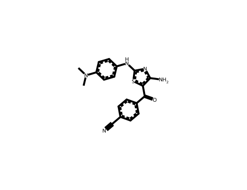 CN(C)c1ccc(Nc2nc(N)c(C(=O)c3ccc(C#N)cc3)s2)cc1